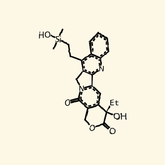 CC[C@@]1(O)C(=O)OCc2c1cc1n(c2=O)Cc2c-1nc1ccccc1c2CC[Si](C)(C)O